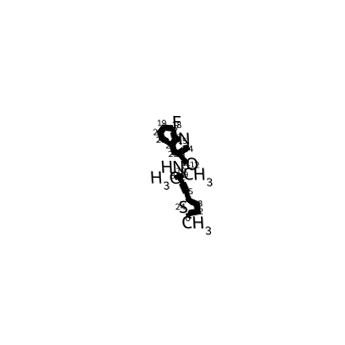 Cc1ccc(C#CC(C)(C)NC(=O)c2cnc3c(F)cccc3c2)s1